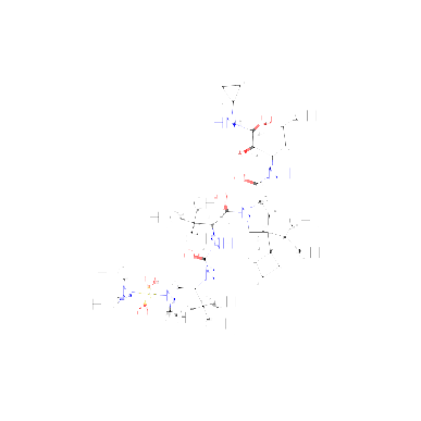 CCCC(NC(=O)[C@@H]1C[C@@]2(CN1C(=O)[C@@H](NC(=O)N[C@H](CN(C)S(=O)(=O)N(C)C)C(C)(C)C)C(C)(C)C)C(C)(C)C21CCC1)C(=O)C(=O)NC1CC1